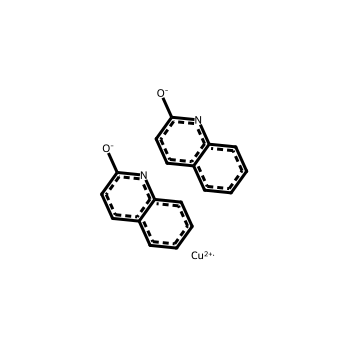 [Cu+2].[O-]c1ccc2ccccc2n1.[O-]c1ccc2ccccc2n1